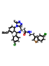 COc1ccc2c(c1)C(c1ccc(Cl)cc1)=N[C@@H](CC(=O)NCCc1csc3ccc(Br)cc13)c1nnc(C)n1-2